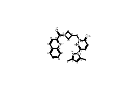 Cc1cc(C)n(-c2ccc(=O)n(CC3CN(C(=O)c4ccc5ccccc5n4)C3)n2)n1